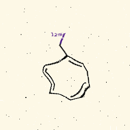 [125I]c1ccccc1